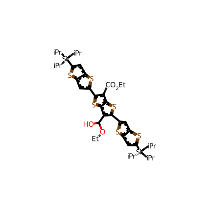 CCOC(=O)c1c(-c2cc3sc([Si](C(C)C)(C(C)C)C(C)C)cc3s2)sc2c(C(O)OCC)c(-c3cc4sc([Si](C(C)C)(C(C)C)C(C)C)cc4s3)sc12